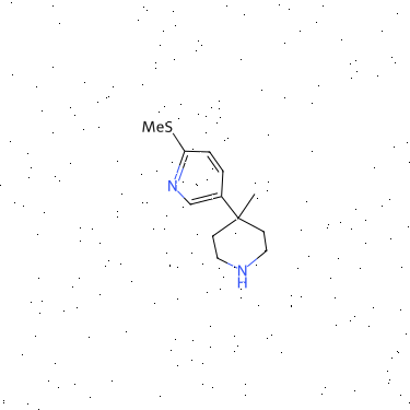 CSc1ccc(C2(C)CCNCC2)cn1